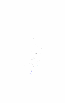 CCCCCC12CCC(c3cc(F)c(C#N)c(F)c3)(CC1)CC2